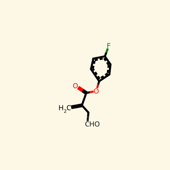 C=C(CC=O)C(=O)Oc1ccc(F)cc1